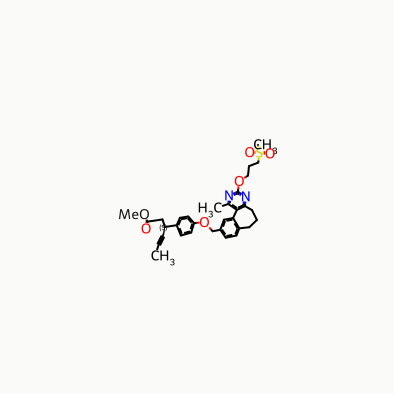 CC#C[C@@H](CC(=O)OC)c1ccc(OCc2ccc3c(c2)-c2c(C)nc(OCCCS(C)(=O)=O)nc2CCC3)cc1